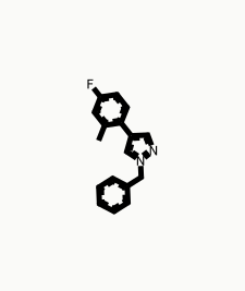 Cc1cc(F)ccc1-c1cnn(Cc2ccccc2)c1